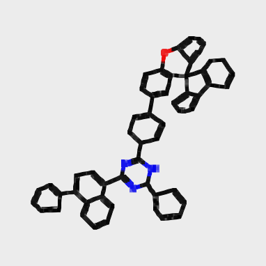 C1=CC2=C(CC1)C1(c3ccccc3Oc3ccc(C4=CCC(C5=NC(c6ccc(-c7ccccc7)c7ccccc67)=NC(c6ccccc6)N5)C=C4)cc31)c1ccccc12